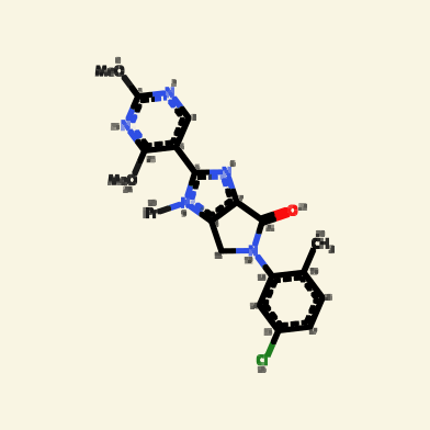 COc1ncc(-c2nc3c(n2C(C)C)CN(c2cc(Cl)ccc2C)C3=O)c(OC)n1